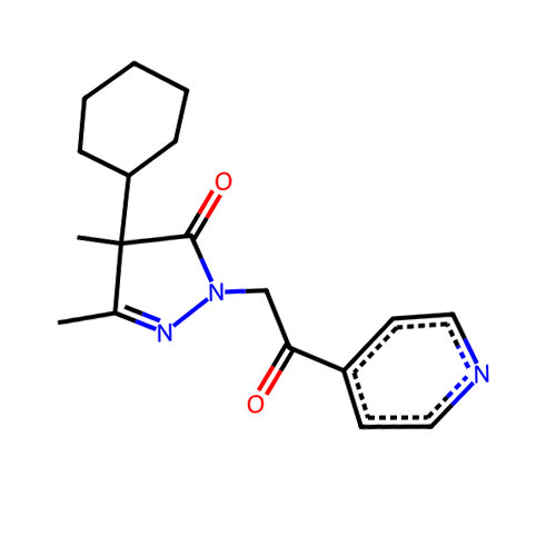 CC1=NN(CC(=O)c2ccncc2)C(=O)C1(C)C1CCCCC1